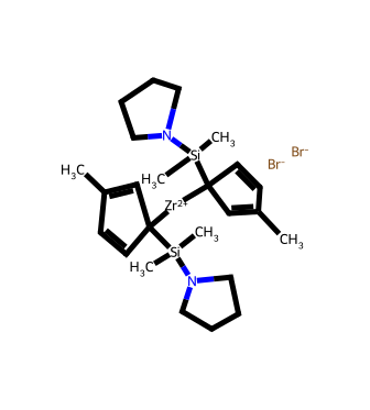 CC1=C[C]([Zr+2][C]2([Si](C)(C)N3CCCC3)C=CC(C)=C2)([Si](C)(C)N2CCCC2)C=C1.[Br-].[Br-]